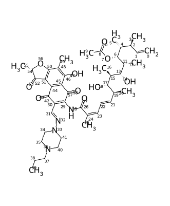 C=C[C@H](C)[C@@H](C)[C@@H](OC(C)=O)[C@H](C)[C@H](O)[C@H](C)[C@@H](O)[C@@H](C)/C=C/C=C(/C)C(=O)NC1=C(/C=N/N2CCN(CCC)CC2)C(=O)c2c(c(O)c(C)c3c2C(=O)[C@H](C)O3)C1=O